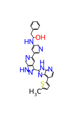 Cc1ccc(-c2ccnc3[nH]c(-c4n[nH]c5cnc(-c6cncc(NC(O)Cc7ccccc7)c6)cc45)nc23)s1